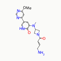 COc1cc(-c2c[nH]c(=O)c(N(C)C3CN(C(=O)/C=C/CN)C3)c2)ncn1